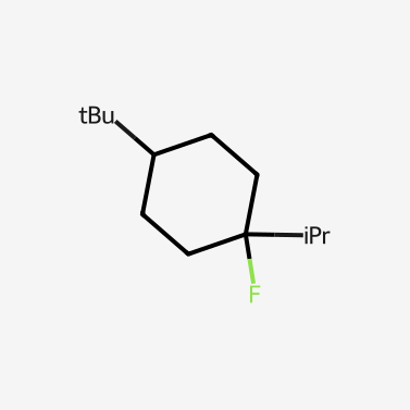 CC(C)C1(F)CCC(C(C)(C)C)CC1